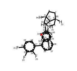 Cc1cc(N2C[C@H]3CC[C@@H](C2)[C@@H]3Nc2nc3c(-c4ccc(F)c(F)c4F)cccn3n2)sn1